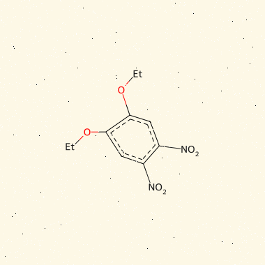 CCOc1cc([N+](=O)[O-])c([N+](=O)[O-])cc1OCC